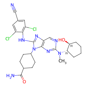 CN(c1ncc2nc(Nc3c(Cl)cc(C#N)cc3Cl)n(C3CCC(C(N)=O)CC3)c2n1)[C@H]1CCCC[C@@H]1O